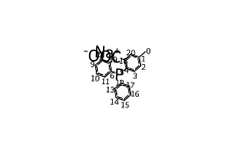 Cc1ccc(P(c2ccccc2)c2ccccc2)c(C(=O)[O-])c1.[Na+]